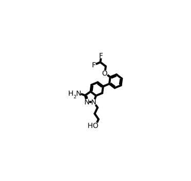 NC1=NN(CCCO)C2CC(c3ccccc3OCC(F)F)=CC=C12